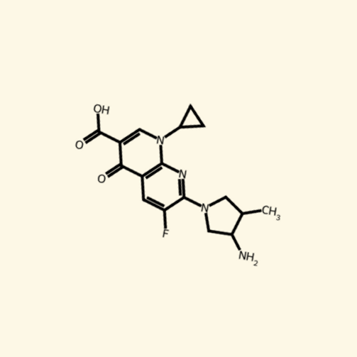 CC1CN(c2nc3c(cc2F)c(=O)c(C(=O)O)cn3C2CC2)CC1N